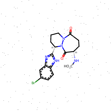 O=C(O)N[C@H]1CCC(=O)N2CCC[C@@H](c3nc4cc(Br)ccc4[nH]3)N2C1=O